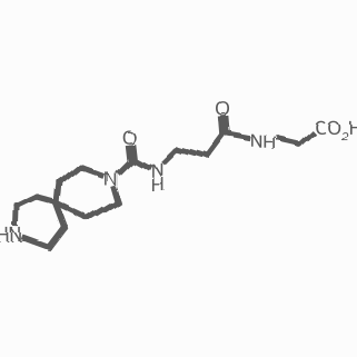 O=C(O)CCNC(=O)CCNC(=O)N1CCC2(CCNCC2)CC1